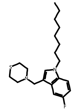 CCCCCCCCn1cc(CN2CCSCC2)c2cc(F)ccc21